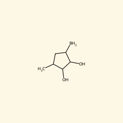 BC1CC(C)C(O)C1O